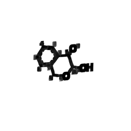 O=C1c2ccccc2COC1O